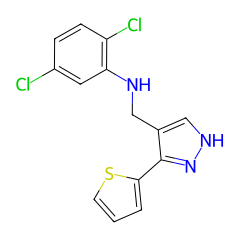 Clc1ccc(Cl)c(NCc2c[nH]nc2-c2cccs2)c1